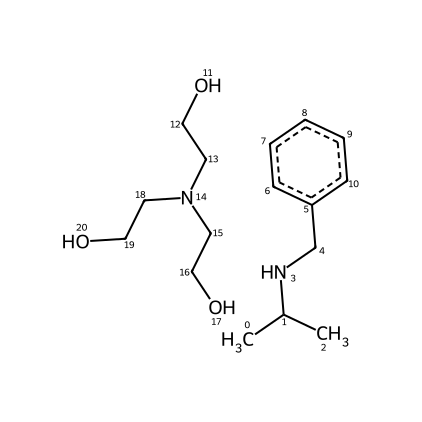 CC(C)NCc1ccccc1.OCCN(CCO)CCO